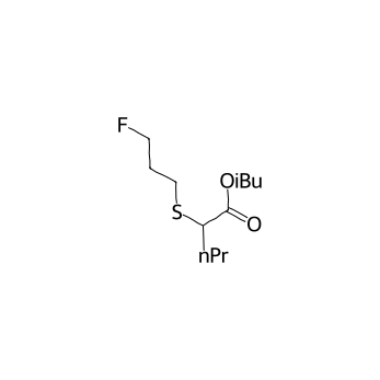 CCCC(SCCCF)C(=O)OCC(C)C